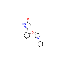 O=C1CCC(c2ccccc2O[C@@H]2CCN(C3CCCC3)C2)=NN1